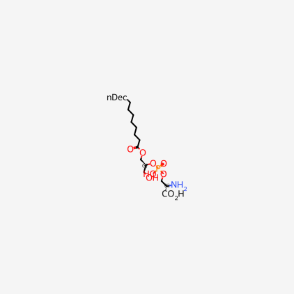 CCCCCCCCCCCCCCCCCC(=O)OC[C@H](CO)OP(=O)(O)OC[C@H](N)C(=O)O